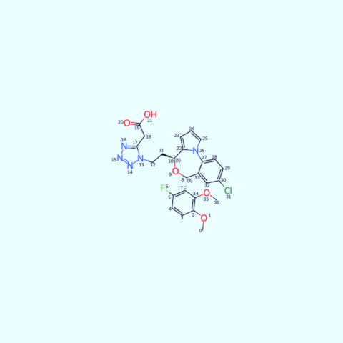 COc1ccc(F)c([C@@H]2O[C@@H](CCn3nnnc3CC(=O)O)c3cccn3-c3ccc(Cl)cc32)c1OC